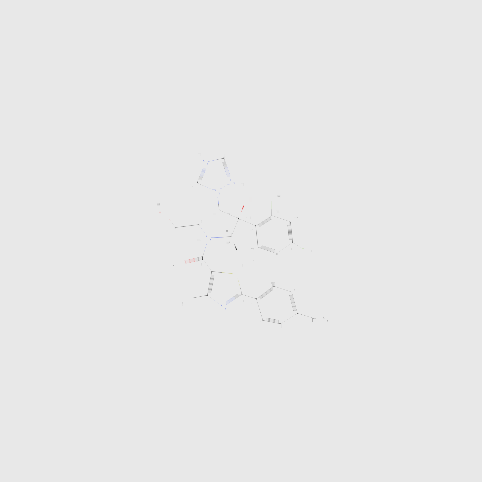 Cc1nc(-c2ccc(C#N)cc2)sc1C(=O)N(CCO)[C@H](C)[C@](O)(Cn1cncn1)c1ccc(F)cc1F